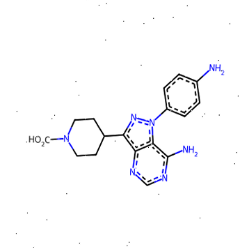 Nc1ccc(-n2nc(C3CCN(C(=O)O)CC3)c3ncnc(N)c32)cc1